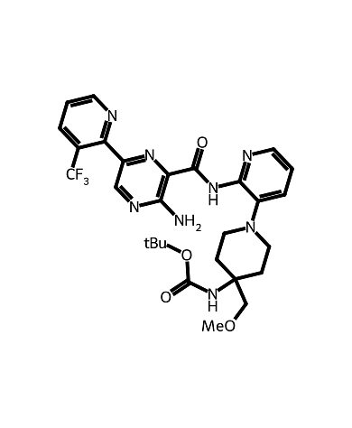 COCC1(NC(=O)OC(C)(C)C)CCN(c2cccnc2NC(=O)c2nc(-c3ncccc3C(F)(F)F)cnc2N)CC1